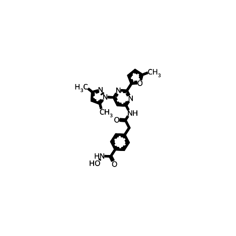 Cc1cc(C)n(-c2cc(NC(=O)Cc3ccc(C(=O)NO)cc3)nc(-c3ccc(C)o3)n2)n1